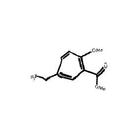 BCc1ccc(OC)c(C(=O)OC)c1